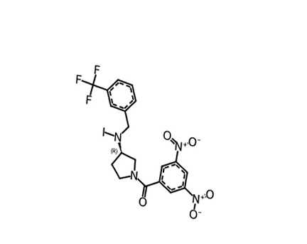 O=C(c1cc([N+](=O)[O-])cc([N+](=O)[O-])c1)N1CC[C@@H](N(I)Cc2cccc(C(F)(F)F)c2)C1